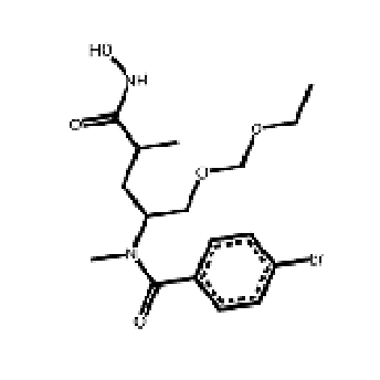 CCOCOCC(CC(C)C(=O)NO)N(C)C(=O)c1ccc(Br)cc1